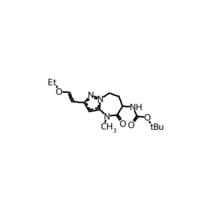 CCO/C=C/c1cc2n(n1)CCC(NC(=O)OC(C)(C)C)C(=O)N2C